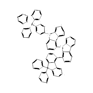 c1ccc(C2(c3ccccc3)c3ccccc3-c3c(-c4cccc5c6ccccc6n(-c6cccc7c6c6ccccc6n7-c6ccc([Si](c7ccccc7)(c7ccccc7)c7ccccc7)cc6)c45)cccc32)cc1